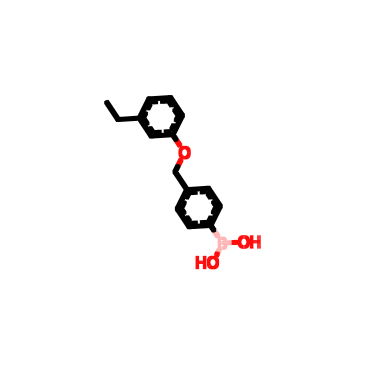 CCc1cccc(OCc2ccc(B(O)O)cc2)c1